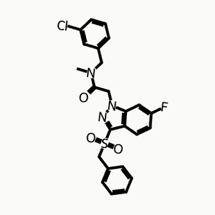 CN(Cc1cccc(Cl)c1)C(=O)Cn1nc(S(=O)(=O)Cc2ccccc2)c2ccc(F)cc21